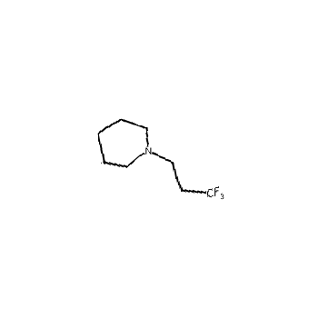 FC(F)(F)CCN1C[CH]CCC1